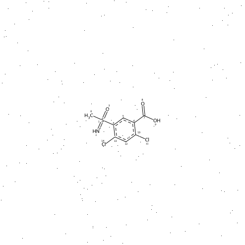 CS(=N)(=O)c1cc(C(=O)O)c(Cl)cc1Cl